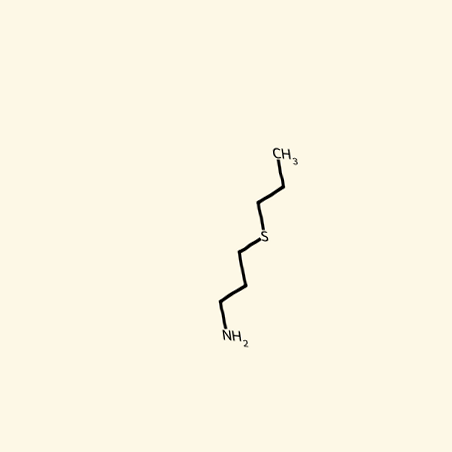 CCCSCCCN